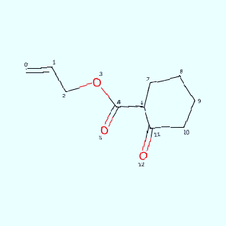 C=CCOC(=O)C1CCCCC1=O